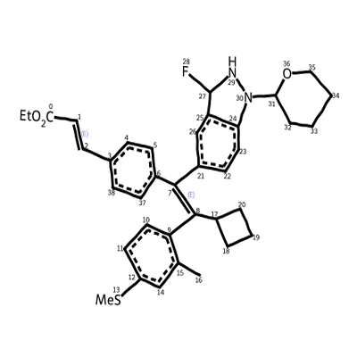 CCOC(=O)/C=C/c1ccc(/C(=C(\c2ccc(SC)cc2C)C2CCC2)c2ccc3c(c2)C(F)NN3C2CCCCO2)cc1